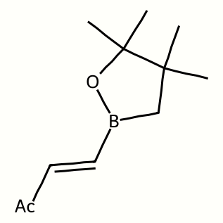 CC(=O)/C=C/B1CC(C)(C)C(C)(C)O1